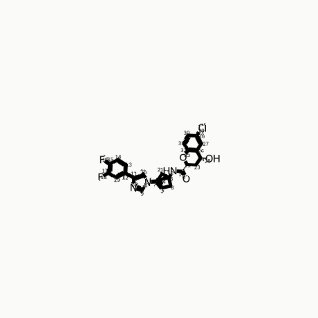 O=C(NC12CC(C1)C(n1cnc(-c3ccc(F)c(F)c3)c1)C2)[C@H]1C[C@@H](O)c2cc(Cl)ccc2O1